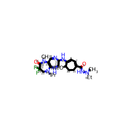 CCN(C)NC(=O)C1=CC=C(NC2CNC3=C(C=N2)N(C)C(=O)C(F)(F)CN3C(C)C)C(OC)CC1